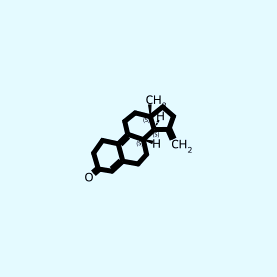 C=C1CC[C@@]2(C)CCC3=C4CCC(=O)C=C4CC[C@H]3[C@H]12